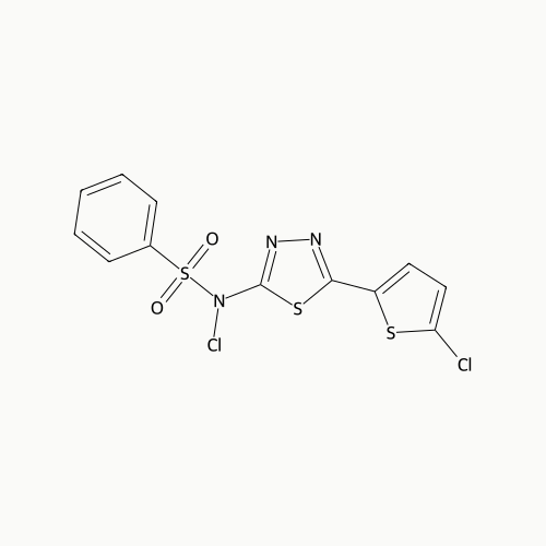 O=S(=O)(c1ccccc1)N(Cl)c1nnc(-c2ccc(Cl)s2)s1